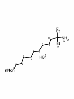 Br.CCCCCCCCCCCCCCCCCCC(N)(CC)CC